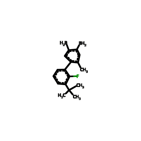 Bc1cc(C)c(-c2cccc(C(C)(C)C)c2F)cc1B